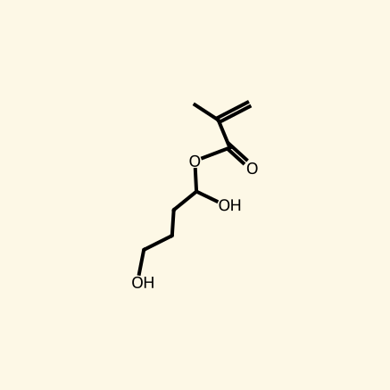 C=C(C)C(=O)OC(O)CCCO